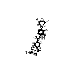 C[C@@H]1CN(c2ccc(NC(=O)C3CCC(NS(=O)(=O)C(C)(C)C)CC3)c(F)c2F)C[C@H](C)O1